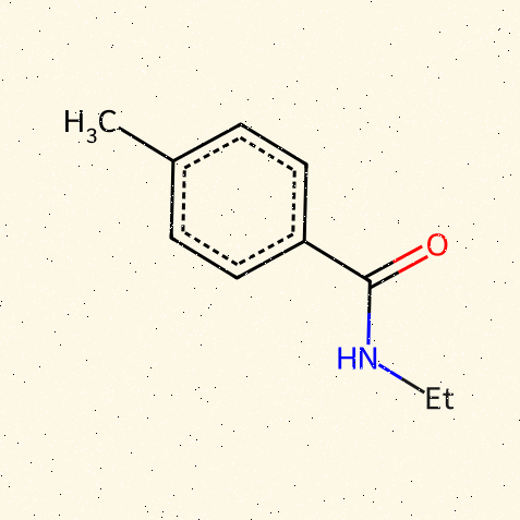 CCNC(=O)c1ccc(C)cc1